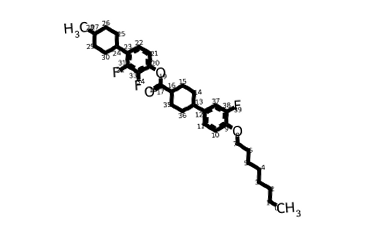 CCCCCCCCOc1ccc(C2CCC(C(=O)Oc3ccc(C4CCC(C)CC4)c(F)c3F)CC2)cc1F